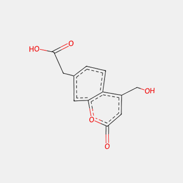 O=C(O)Cc1ccc2c(CO)cc(=O)oc2c1